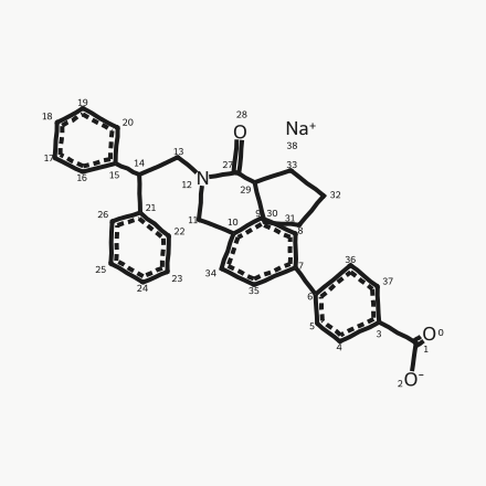 O=C([O-])c1ccc(-c2ccc(CN(CC(c3ccccc3)c3ccccc3)C(=O)C3CCCC3)cc2)cc1.[Na+]